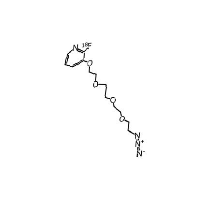 [N-]=[N+]=NCCOCCOCCOCCOc1cccnc1[18F]